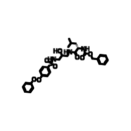 CC(C)C[C@H](NC(=O)OCc1ccccc1)C(=O)NCC(O)CNS(=O)(=O)c1ccc(OOc2ccccc2)cc1